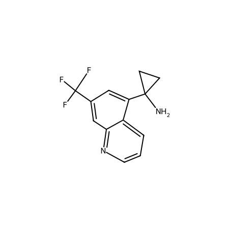 NC1(c2cc(C(F)(F)F)cc3ncccc23)CC1